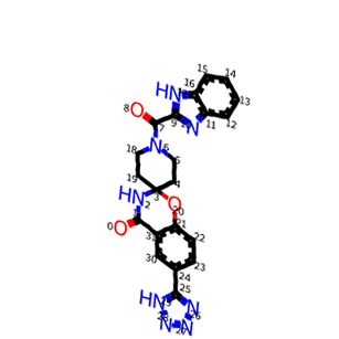 O=C1NC2(CCN(C(=O)c3nc4ccccc4[nH]3)CC2)Oc2ccc(-c3nnn[nH]3)cc21